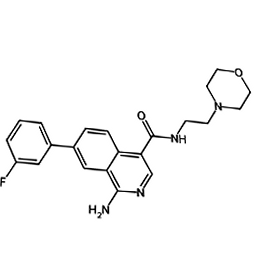 Nc1ncc(C(=O)NCCN2CCOCC2)c2ccc(-c3cccc(F)c3)cc12